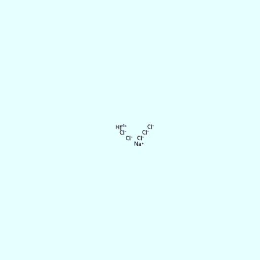 [Cl-].[Cl-].[Cl-].[Cl-].[Cl-].[Hf+4].[Na+]